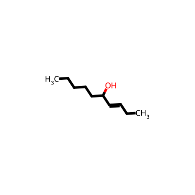 CCC=CC(O)CCCCC